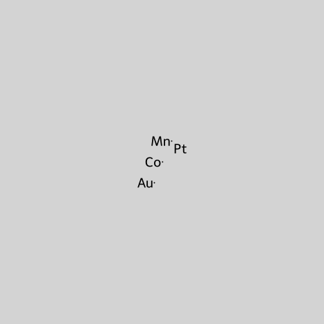 [Au].[Co].[Mn].[Pt]